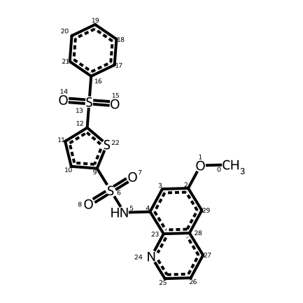 COc1cc(NS(=O)(=O)c2ccc(S(=O)(=O)c3ccccc3)s2)c2ncccc2c1